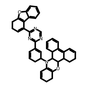 C1=CC2=C3C=CCCC3C3OC4=C(C=CCC4)N(C4C=C(c5ncnc(C6=CCCc7oc8ccccc8c76)n5)C=CC4)C3C2C=C1